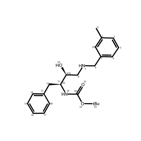 Cc1cccc(CNC[C@H](O)[C@H](Cc2ccccc2)NC(=O)OC(C)(C)C)c1